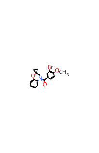 COc1ccc(C(=O)N2CC3(CC3)Oc3ccccc32)cc1Br